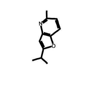 Cc1ccc2oc(C(C)C)cc2n1